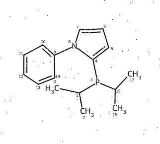 CC(C)P(c1cccn1-c1ccccc1)C(C)C